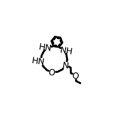 CCOCCN1CCNc2ccccc2NCCNCCOCC1